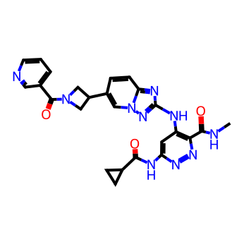 CNC(=O)c1nnc(NC(=O)C2CC2)cc1Nc1nc2ccc(C3CN(C(=O)c4cccnc4)C3)cn2n1